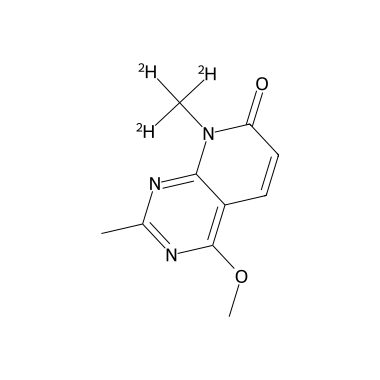 [2H]C([2H])([2H])n1c(=O)ccc2c(OC)nc(C)nc21